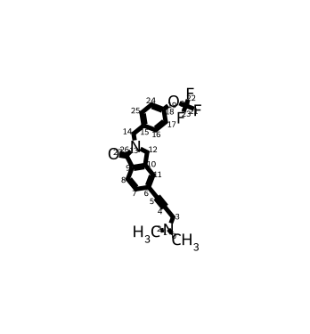 CN(C)CC#Cc1ccc2c(c1)CN(Cc1ccc(OC(F)(F)F)cc1)C2=O